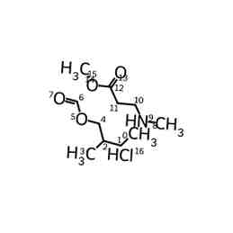 CCC(C)COC=O.CNCCC(=O)OC.Cl